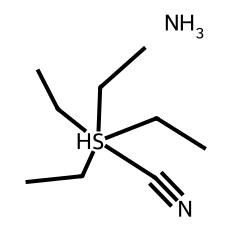 CC[SH](C#N)(CC)(CC)CC.N